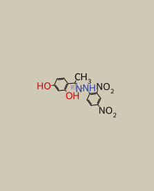 C/C(=N\Nc1ccc([N+](=O)[O-])cc1[N+](=O)[O-])c1ccc(O)cc1O